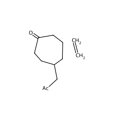 C=C.CC(=O)CC1CCCC(=O)CC1